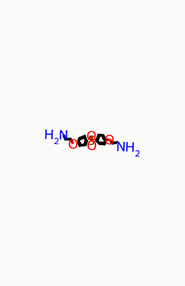 NCCOc1ccc(S(=O)(=O)c2ccc(OCCN)cc2)cc1